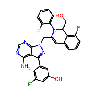 Nc1ncnc2c1c(-c1cc(O)cc(F)c1)nn2CC1=Cc2cccc(F)c2C(CO)N1c1ccccc1F